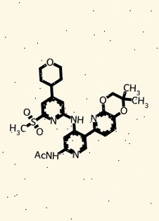 CC(=O)Nc1cc(Nc2cc(C3CCOCC3)cc(S(C)(=O)=O)n2)c(-c2ccc3c(n2)OCC(C)(C)O3)cn1